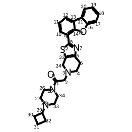 O=C(CN1CCc2nc(-c3cccc4c3oc3ccccc34)sc2C1)N1CCN(C2CCC2)CC1